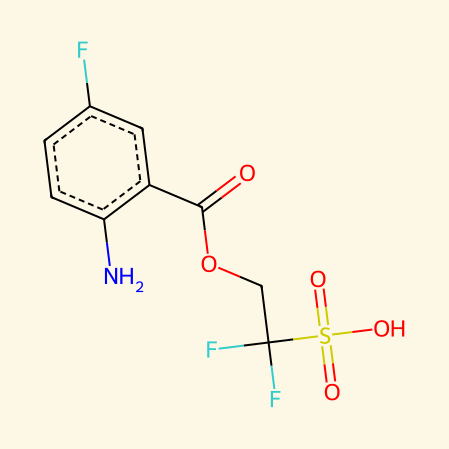 Nc1ccc(F)cc1C(=O)OCC(F)(F)S(=O)(=O)O